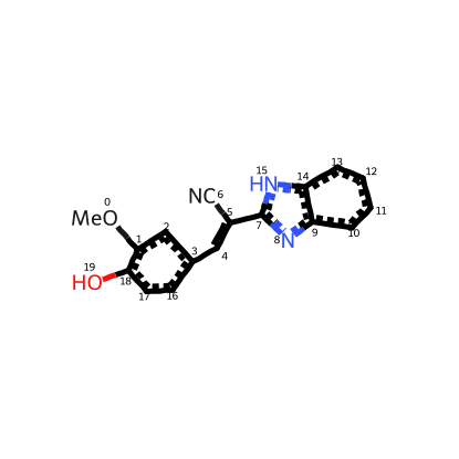 COc1cc(C=C(C#N)c2nc3ccccc3[nH]2)ccc1O